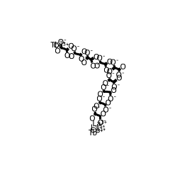 O=C([O-])C(=O)[O-].O=C([O-])C(=O)[O-].O=C([O-])C(=O)[O-].O=C([O-])C(=O)[O-].O=C([O-])C(=O)[O-].O=C([O-])C(=O)[O-].O=C([O-])C(=O)[O-].O=C([O-])C(=O)[O-].O=C([O-])C(=O)[O-].[Ce+3].[Ce+3].[La+3].[La+3].[Tb+3].[Tb+3]